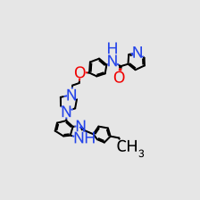 CCc1ccc(-c2nc3c(N4CCN(CCOc5ccc(NC(=O)c6cccnc6)cc5)CC4)cccc3[nH]2)cc1